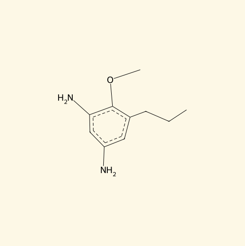 CCCc1cc(N)cc(N)c1OC